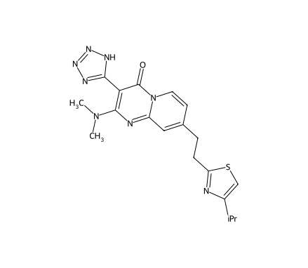 CC(C)c1csc(CCc2ccn3c(=O)c(-c4nnn[nH]4)c(N(C)C)nc3c2)n1